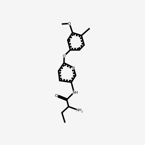 CCC(N)C(=O)Nc1ccc(Oc2ccc(C)c(OC)c2)nc1